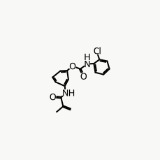 C=C(C)C(=O)Nc1cccc(OC(=O)Nc2ccccc2Cl)c1